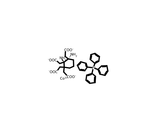 N[C@]1(CC(=O)[O-])CCCC(CC(=O)[O-])(CC(=O)[O-])[C@]1(N)CC(=O)[O-].[Co+3].c1ccc([P+](c2ccccc2)(c2ccccc2)c2ccccc2)cc1